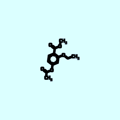 CCOc1cc(OC(C)=O)ccc1C(=O)OC